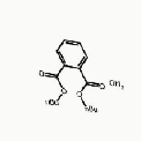 CCCCOC(=O)c1ccccc1C(=O)OCCCC.O